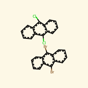 Brc1c2ccccc2c(Br)c2ccccc12.Clc1c2ccccc2c(Cl)c2ccccc12